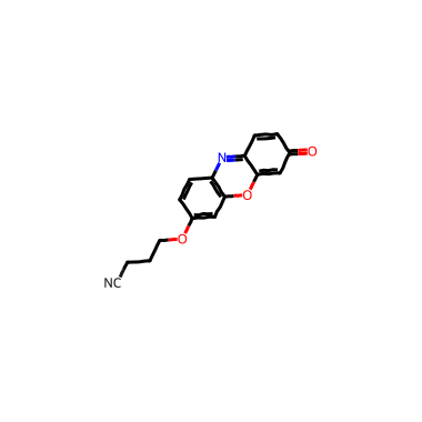 N#CCCCOc1ccc2nc3ccc(=O)cc-3oc2c1